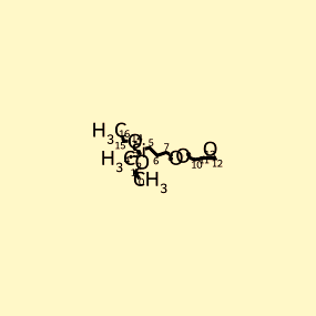 CCO[Si](C)(CCCOOCC1CO1)OCC